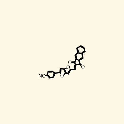 N#Cc1ccc(-c2cc3oc(C=C4C(=O)c5cc6ccccc6cc5C4=O)cc3o2)cc1